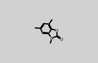 Cc1cc(C)c2oc(=O)n(C)c2c1